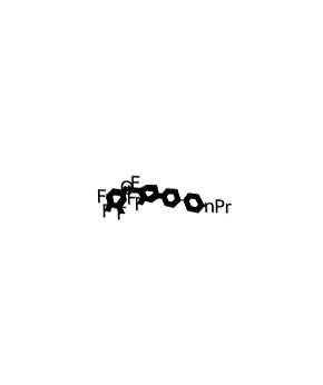 CCC[C@H]1CC[C@H](C2CCC(c3ccc(C(F)(F)Oc4cc(F)c(F)c(F)c4)c(F)c3)CC2)CC1